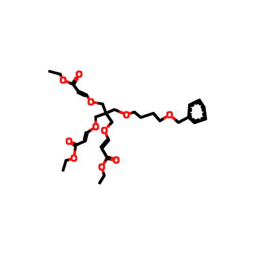 CCOC(=O)C=COCC(COC=CC(=O)OCC)(COC=CC(=O)OCC)COCCCCOCc1ccccc1